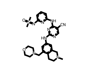 CN1CCc2c(cc(Nc3ncc(C#N)c(Nc4cccc(N=S(C)(C)=O)n4)n3)cc2CN2CCOCC2)C1